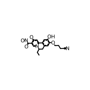 CCC1Cc2cc(OCCCC#N)c(O)cc2-c2cc(=O)c(C(=O)N=O)cn21